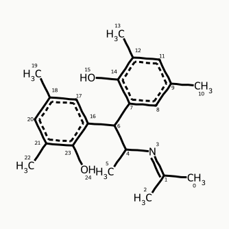 CC(C)=NC(C)C(c1cc(C)cc(C)c1O)c1cc(C)cc(C)c1O